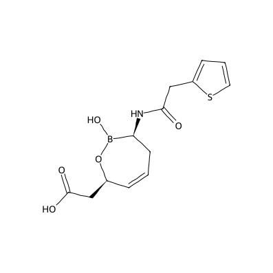 O=C(O)C[C@@H]1C=CC[C@H](NC(=O)Cc2cccs2)B(O)O1